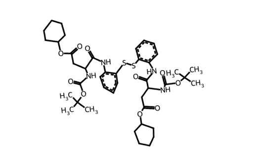 CC(C)(C)OC(=O)NC(CC(=O)OC1CCCCC1)C(=O)Nc1ccccc1SSc1ccccc1NC(=O)C(CC(=O)OC1CCCCC1)NC(=O)OC(C)(C)C